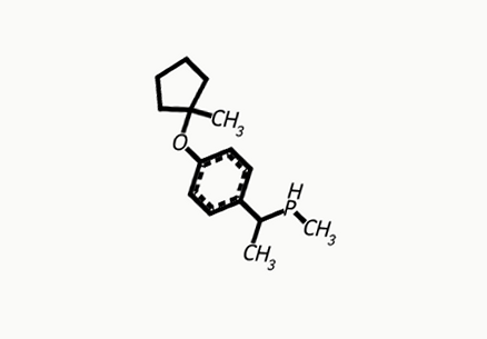 CPC(C)c1ccc(OC2(C)CCCC2)cc1